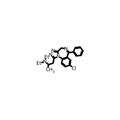 CCN(CC)C(C)Cc1nnc2n1-c1ccc(Cl)cc1C(c1ccccc1)=NC2